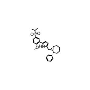 COc1ccc(S(=O)(=O)C(C)C)cc1-c1ccc(CN2CCCCC[C@@H]2c2ccccc2)[nH]1